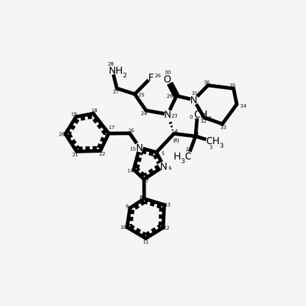 CC(C)(C)[C@H](c1nc(-c2ccccc2)cn1Cc1ccccc1)N(CC(F)CN)C(=O)N1CCCCC1